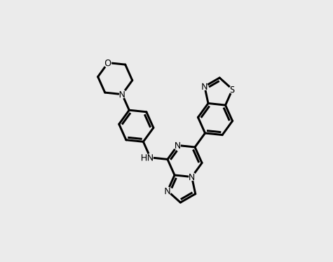 c1cn2cc(-c3ccc4scnc4c3)nc(Nc3ccc(N4CCOCC4)cc3)c2n1